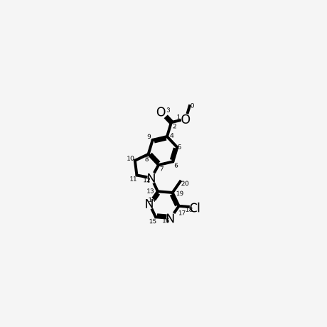 COC(=O)c1ccc2c(c1)CCN2c1ncnc(Cl)c1C